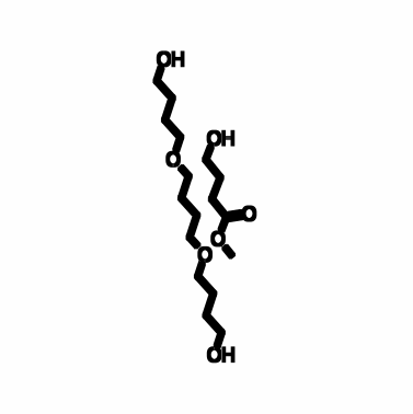 COC(=O)CCCO.OCCCCOCCCCOCCCCO